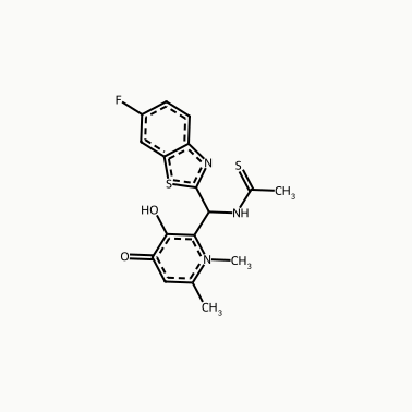 CC(=S)NC(c1nc2ccc(F)cc2s1)c1c(O)c(=O)cc(C)n1C